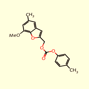 COc1cc(C)cc2cc(COC(=O)Oc3ccc(C)cc3)oc12